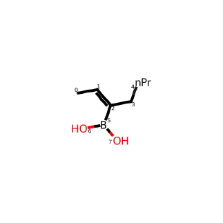 CC=C(CCCC)B(O)O